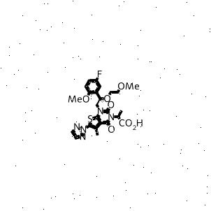 COCCO[C@@H](Cn1c(=O)n(C(C)C(=O)O)c(=O)c2c(C)c(-n3nccn3)sc21)c1cc(F)ccc1OC